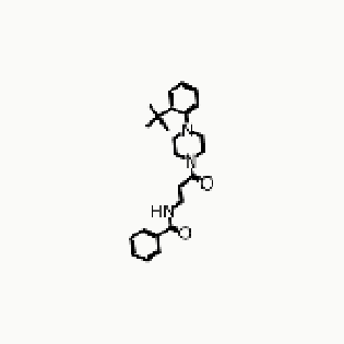 CC(C)(C)c1ccccc1N1CCN(C(=O)CCNC(=O)c2ccccc2)CC1